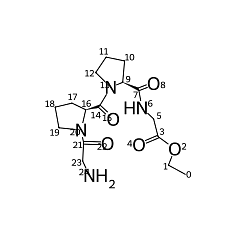 CCOC(=O)CNC(=O)[C@@H]1CCCN1C(=O)[C@@H]1CCCN1C(=O)CN